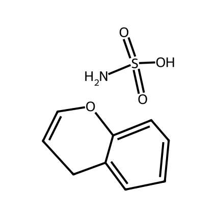 C1=COc2ccccc2C1.NS(=O)(=O)O